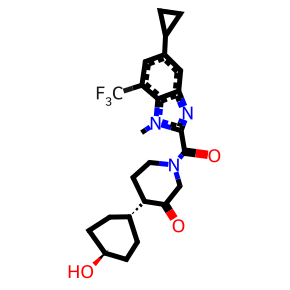 Cn1c(C(=O)N2CCC([C@H]3CC[C@H](O)CC3)C(=O)C2)nc2cc(C3CC3)cc(C(F)(F)F)c21